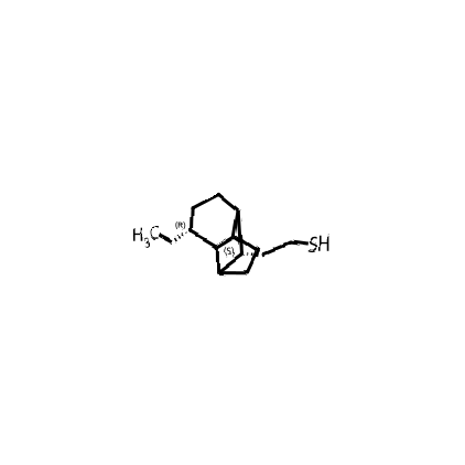 CC[C@@H]1CCC2C3CCC(C31)[C@H]2CCS